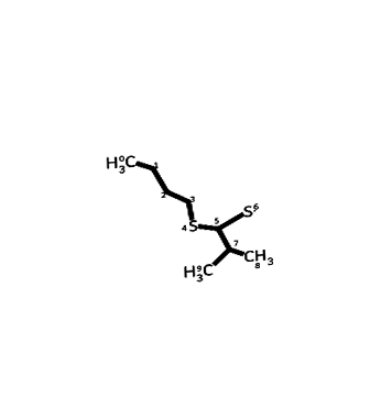 CCCCSC([S])C(C)C